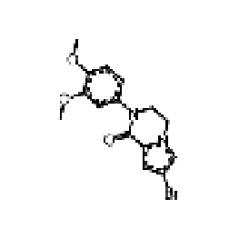 COc1ccc(N2CCn3cc(Br)cc3C2=O)cc1OC